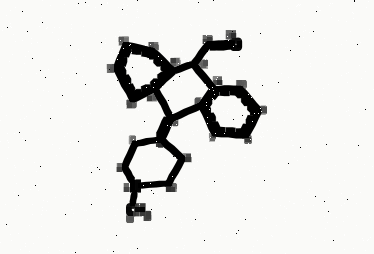 CN1CCC(=C2c3ccccc3C(C=O)c3ccccc32)CC1